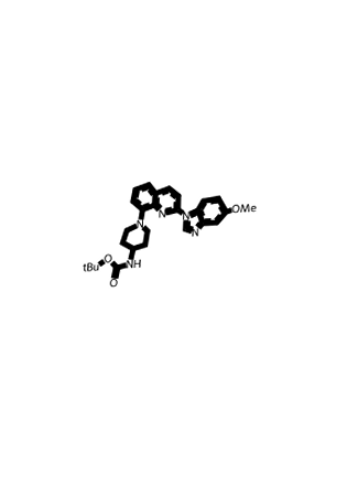 COc1ccc2c(c1)ncn2-c1ccc2cccc(N3CCC(NC(=O)OC(C)(C)C)CC3)c2n1